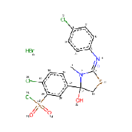 Br.CN1/C(=N\c2ccc(Cl)cc2)SCC1(O)c1ccc(Cl)c(S(=O)(=O)Cl)c1